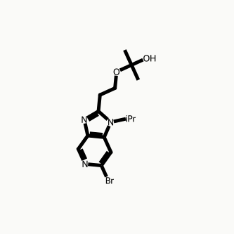 CC(C)n1c(CCOC(C)(C)O)nc2cnc(Br)cc21